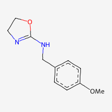 COc1ccc(CNC2=NCCO2)cc1